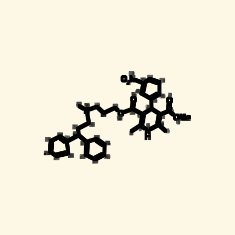 COC(=O)C1=C(C)NC(C)=C(C(=O)OCCCN(C)CCC(c2ccccc2)c2ccccc2)C1c1cccc([N+](=O)[O-])c1